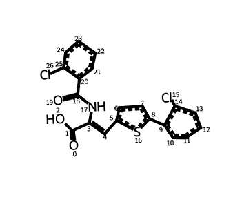 O=C(O)C(=Cc1ccc(-c2ccccc2Cl)s1)NC(=O)c1ccccc1Cl